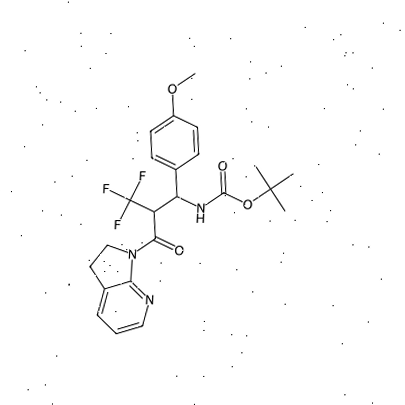 COc1ccc(C(NC(=O)OC(C)(C)C)C(C(=O)N2CCc3cccnc32)C(F)(F)F)cc1